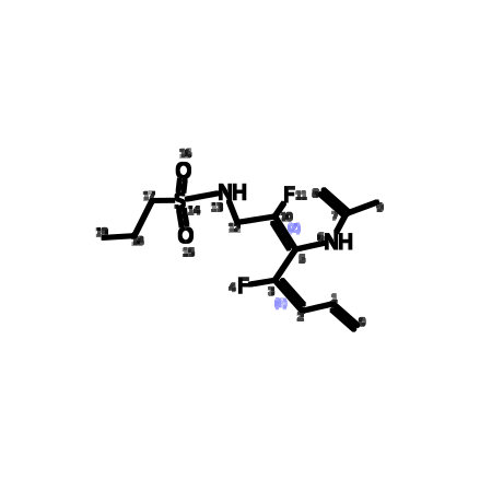 C=C/C=C(F)\C(NC(=C)C)=C(\F)CNS(=O)(=O)CCC